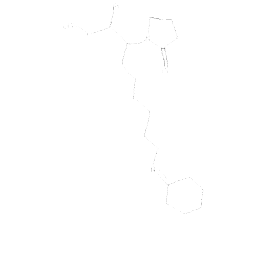 CCC(OC=O)C(CCCCCCN=C1CCCCC1)N1CCCC1=O